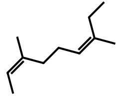 CC=C(C)CCC=C(C)CC